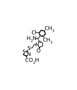 Cc1cc(C)c(C(N)[C@H]2CCC(=O)N2CCSc2nc(C(=O)O)cs2)c(Cl)c1